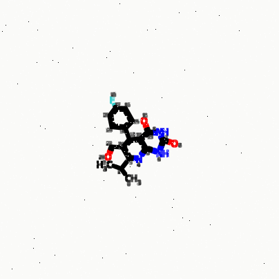 CC(C)c1nc2[nH]c(=O)[nH]c(=O)c2c(-c2ccc(F)cc2)c1C=O